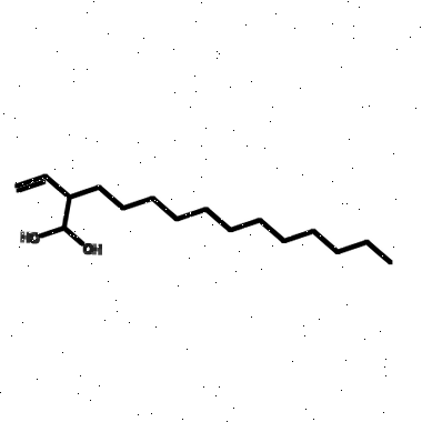 C=CC(CCCCCCCCCCCC)C(O)O